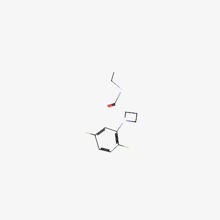 O=C(O)CNC(=O)[C@@H]1CCN1c1cc(F)ccc1F